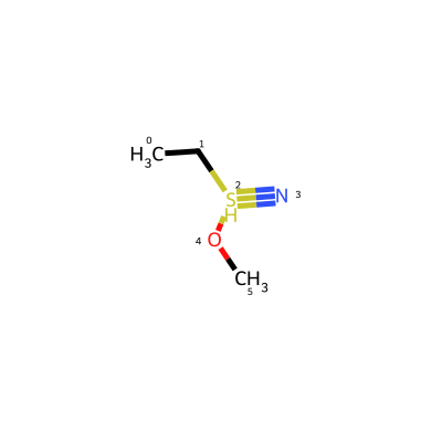 CC[SH](#N)OC